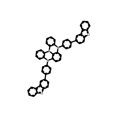 c1ccc2c(c1)B1c3ccccc3N(c3ccc(-c4ccc5oc6ccccc6c5c4)cc3)c3cccc(c31)N2c1ccc(-c2ccc3oc4ccccc4c3c2)cc1